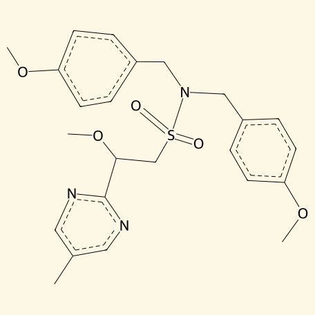 COc1ccc(CN(Cc2ccc(OC)cc2)S(=O)(=O)CC(OC)c2ncc(C)cn2)cc1